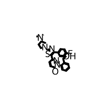 CN(C)C1CCN(c2nc(-c3ccc(F)cc3)c(-c3ccc(=O)n(-c4ccccc4CO)n3)s2)C1